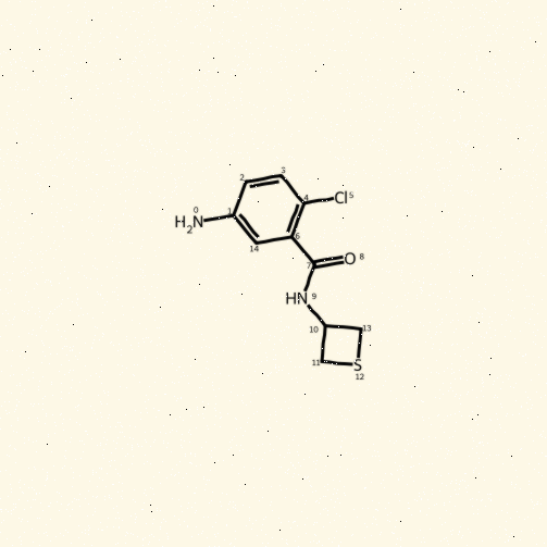 Nc1ccc(Cl)c(C(=O)NC2CSC2)c1